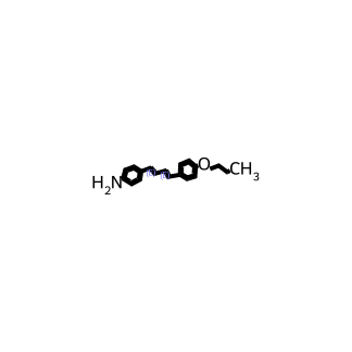 CCCCOc1ccc(/C=C/C=C/c2ccc(N)cc2)cc1